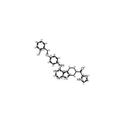 O=C(c1ncc[nH]1)C1CCc2c(sc3ncnc(Nc4ccc(OCc5ccccc5F)cc4)c23)C1